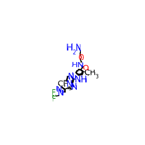 Cc1cc(Nc2nccn3c(-c4cn(CC(F)F)nc4C(F)(F)F)cnc23)ccc1C(=O)NCCOCCN